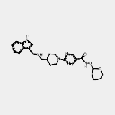 O=C(NOC1CCCCO1)c1cnc(N2CCC(CNCc3c[nH]c4ccccc34)CC2)nc1